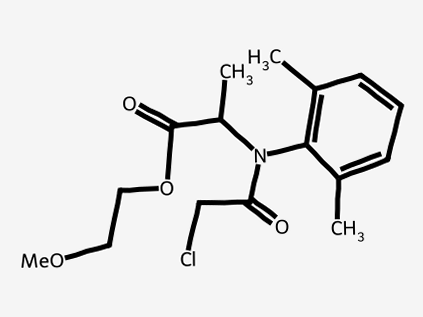 COCCOC(=O)C(C)N(C(=O)CCl)c1c(C)cccc1C